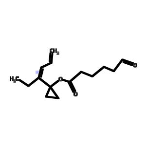 C=C/C=C(/CC)C1(OC(=O)CCCCC=O)CC1